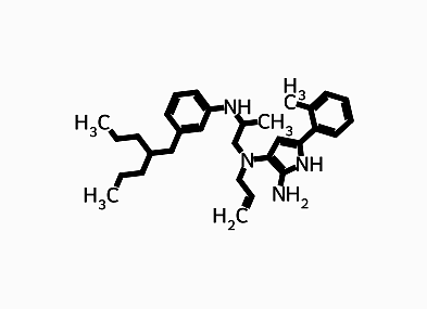 C=CCN(CC(C)Nc1cccc(CC(CCC)CCC)c1)c1cc(-c2ccccc2C)[nH]c1N